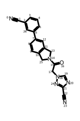 N#Cc1cccc(-c2ccc3c(c2)CN(C(=O)Cn2cnc(C#N)n2)C3)c1